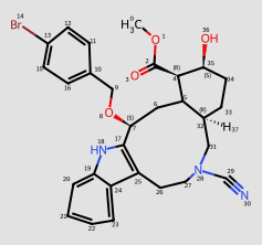 COC(=O)[C@@H]1C2C[C@H](OCc3ccc(Br)cc3)c3[nH]c4ccccc4c3CCN(C#N)C[C@@H]2CC[C@@H]1O